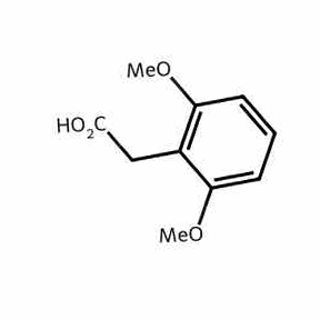 COc1cccc(OC)c1CC(=O)O